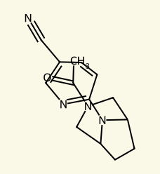 CC(=O)N1CC2CCC(C1)N2c1ccc(C#N)cn1